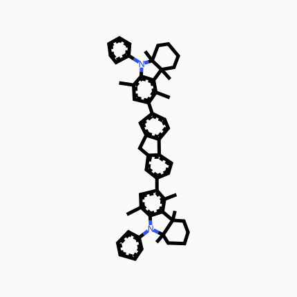 Cc1cc(-c2ccc3c(c2)Cc2cc(-c4cc(C)c5c(c4C)C4(C)CCCCC4(C)N5c4ccccc4)ccc2-3)c(C)c2c1N(c1ccccc1)C1(C)CCCCC21C